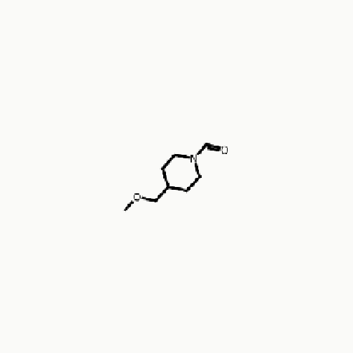 COCC1CCN([C]=O)CC1